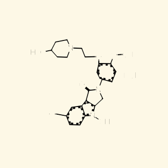 COc1ccc(N2Cc3c(c4cc(Cl)ccc4n3C)C2=O)cc1OCCN1CCC(C)CC1.Cl